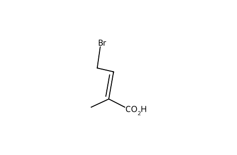 C/C(=C\CBr)C(=O)O